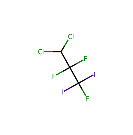 FC(I)(I)C(F)(F)C(Cl)Cl